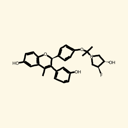 CC1=C(c2cccc(O)c2)[C@H](c2ccc(OC(C)(C)N3C[C@H](O)[C@@H](F)C3)cc2)Oc2ccc(O)cc21